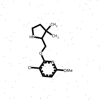 COc1ccc(Cl)c(OCC2NCCC2(C)C)n1